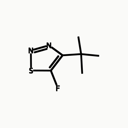 CC(C)(C)c1nnsc1F